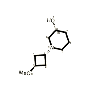 CO[C@H]1C[C@H](N2CCC[C@@H](O)C2)C1